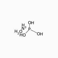 N.O.OP(O)O